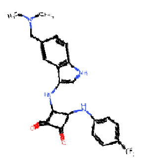 CN(C)Cc1ccc2[nH]cc(NC3C(=O)C(=O)C3Nc3ccc(C(F)(F)F)cc3)c2c1